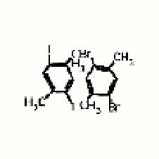 Cc1cc(Br)c(C)cc1Br.Cc1cc(I)c(C)cc1I